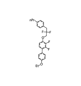 CCCc1ccc(CC(F)(F)COc2ccc(-c3ccc(OCC)cc3)c(F)c2F)cc1